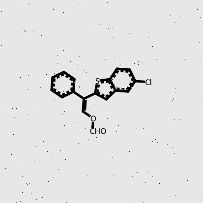 O=CO/C=C(/c1ccccc1)c1cc2cc(Cl)ccc2s1